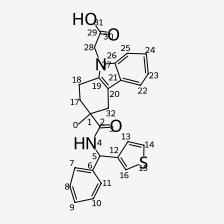 CC1(C(=O)NC(c2ccccc2)c2ccsc2)CCc2c(c3ccccc3n2CC(=O)O)C1